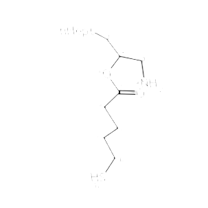 CCCCCCCCC(CN)OC(=O)CCCCS